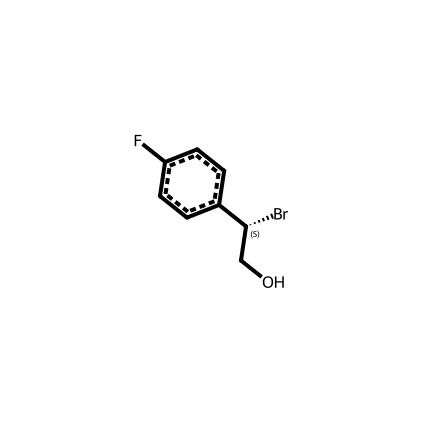 OC[C@@H](Br)c1ccc(F)cc1